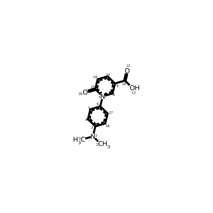 CN(C)c1ccc(-n2cc(C(=O)O)ccc2=O)cc1